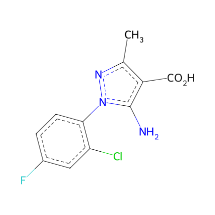 Cc1nn(-c2ccc(F)cc2Cl)c(N)c1C(=O)O